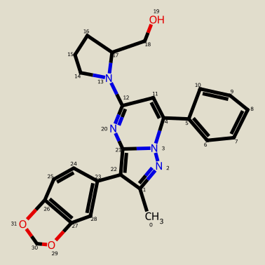 Cc1nn2c(-c3ccccc3)cc(N3CCCC3CO)nc2c1-c1ccc2c(c1)OCO2